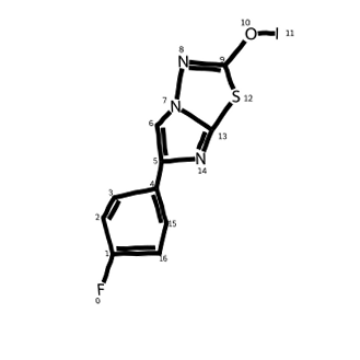 Fc1ccc(-c2cn3nc(OI)sc3n2)cc1